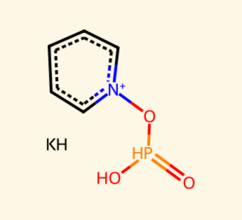 O=[PH](O)O[n+]1ccccc1.[KH]